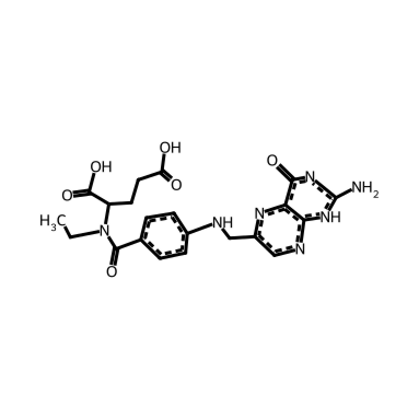 CCN(C(=O)c1ccc(NCc2cnc3[nH]c(N)nc(=O)c3n2)cc1)C(CCC(=O)O)C(=O)O